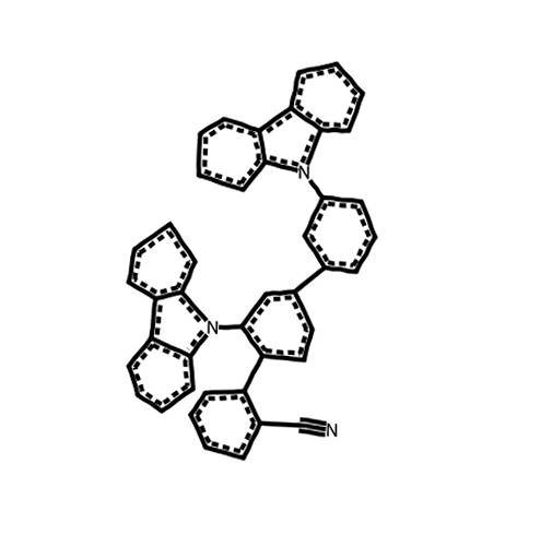 N#Cc1ccccc1-c1ccc(-c2cccc(-n3c4ccccc4c4ccccc43)c2)cc1-n1c2ccccc2c2ccccc21